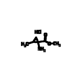 COC(=O)C1(N)CC1C.Cl